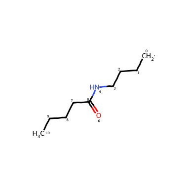 [CH2]CCCNC(=O)CCCC